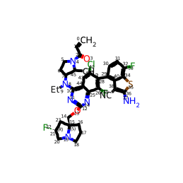 C=CC(=O)N1CCC(N(CC)c2nc(OC[C@@]34CCCN3C[C@H](F)C4)nc3c(F)c(-c4ccc(F)c5sc(N)c(C#N)c45)c(Cl)cc23)C1C